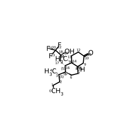 CCC[C@H](C)[C@@H]1CC[C@@H]2CC(=O)CC[C@]2(C)[C@H]1C[C@H](O)C(F)(F)F